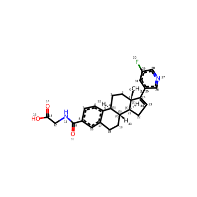 C[C@]12CC[C@@H]3c4ccc(C(=O)NCC(=O)O)cc4CC[C@H]3[C@@H]1CC=C2c1cncc(F)c1